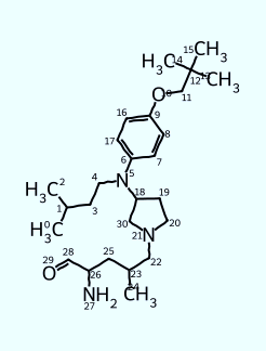 CC(C)CCN(c1ccc(OCC(C)(C)C)cc1)C1CCN(CC(C)CC(N)C=O)C1